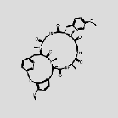 COc1ccc(C[C@H]2C(=O)NCC(=O)N(C)[C@H]3Cc4ccc(cc4)Oc4cc(ccc4OC)C[C@@H](C(=O)NC(C)C(=O)NCC(=O)N2C)N(C)C3=O)cc1